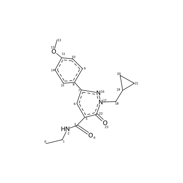 CCNC(=O)c1cc(-c2ccc(OC)cc2)nn(CC2CC2)c1=O